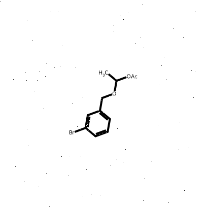 CC(=O)OC(C)OCc1cccc(Br)c1